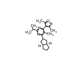 Cc1noc(C)c1-c1nc(C(C)C)nc(C2C[C@H]3CCC[C@H]3C2)c1C